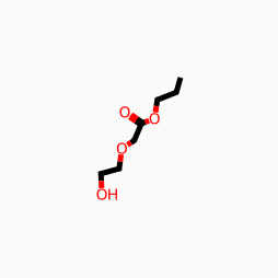 CCCOC(=O)COCCO